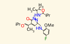 C=C(C)[C@@H](Cn1nc(CNc2cc(F)ccc2OC)cc(/C(C)=C/OC(C)C)c1=O)NC(=O)C(C)C